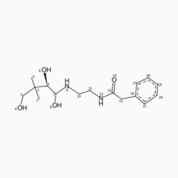 CC(C)(CO)[C@@H](O)C(O)NCCNC(=O)Cc1ccccc1